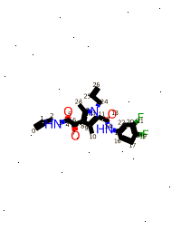 C#CCNC(=O)C(=O)c1c(C)c(C(=O)Nc2ccc(F)c(F)c2)n(CC=C)c1C